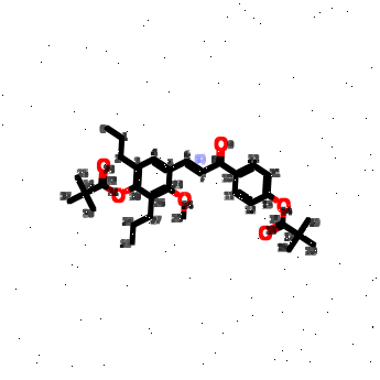 CCCc1cc(/C=C/C(=O)c2ccc(OC(=O)C(C)(C)C)cc2)c(OC)c(CCC)c1OC(=O)C(C)(C)C